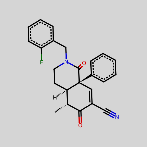 C[C@H]1C(=O)C(C#N)=C[C@@]2(c3ccccc3)C(=O)N(Cc3ccccc3F)CC[C@H]12